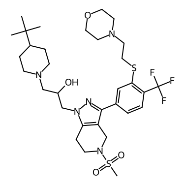 CC(C)(C)C1CCN(CC(O)Cn2nc(-c3ccc(C(F)(F)F)c(SCCN4CCOCC4)c3)c3c2CCN(S(C)(=O)=O)C3)CC1